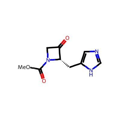 COC(=O)N1CC(=O)[C@@H]1Cc1cnc[nH]1